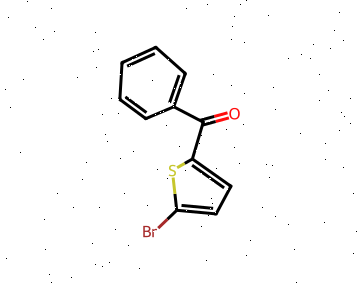 O=C(c1ccccc1)c1ccc(Br)s1